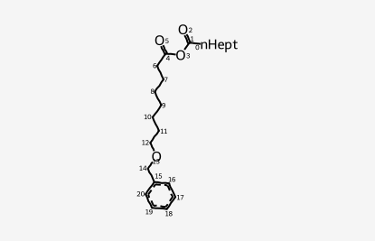 CCCCCCCC(=O)OC(=O)CCCCCCCOCc1ccccc1